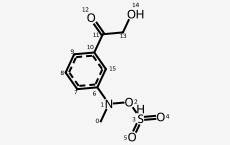 CN(O[SH](=O)=O)c1cccc(C(=O)CO)c1